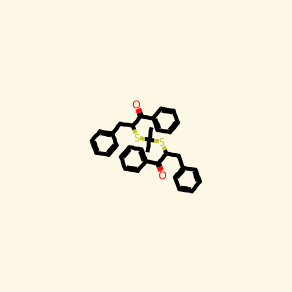 CC(C)(SC(Cc1ccccc1)C(=O)c1ccccc1)SC(Cc1ccccc1)C(=O)c1ccccc1